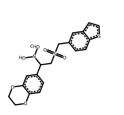 O=CN(O)C(CS(=O)(=O)Cc1ccc2sccc2c1)c1ccc2c(c1)OCCO2